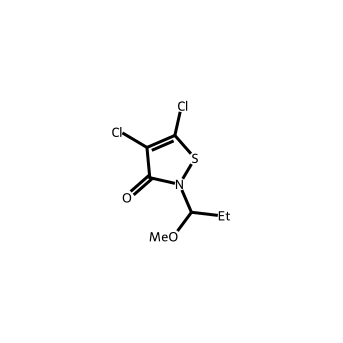 CCC(OC)n1sc(Cl)c(Cl)c1=O